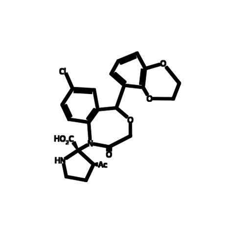 CC(=O)[C@H]1CCN[C@]1(C(=O)O)N1C(=O)COC(c2cccc3c2OCCO3)c2cc(Cl)ccc21